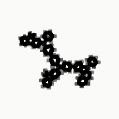 CC1(C)c2ccccc2-c2ccc(N(c3ccccc3)c3ccc(-c4ccc(N(c5ccc(-c6ccc7c(c6)c6c8ccccc8ccc6n7-c6ccccc6)cc5)c5ccc6c(c5)C(C)(C)c5ccccc5-6)cc4)cc3)cc21